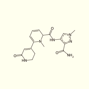 CN1C(C2=CC(=O)NCC2)=CC=CC1C(=O)Nc1cn(C)nc1C(N)=O